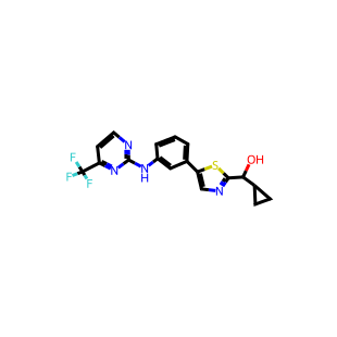 OC(c1ncc(-c2cccc(Nc3nccc(C(F)(F)F)n3)c2)s1)C1CC1